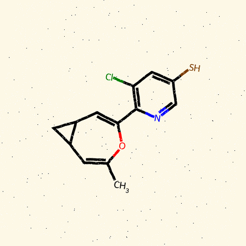 CC1=CC2CC2C=C(c2ncc(S)cc2Cl)O1